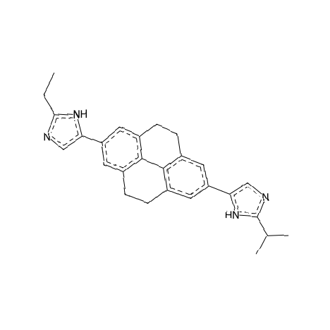 CCc1ncc(-c2cc3c4c(c2)CCc2cc(-c5cnc(C(C)C)[nH]5)cc(c2-4)CC3)[nH]1